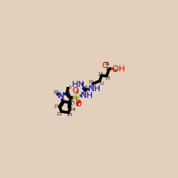 Cc1c(S(=O)(=O)NC(=N)NCCCCC(=O)O)c2c(n1C)=CCCC=2